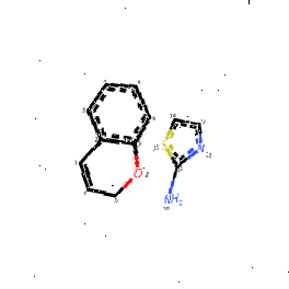 C1=Cc2ccccc2OC1.Nc1nccs1